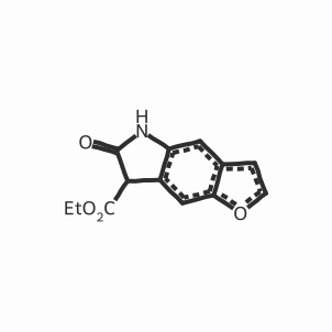 CCOC(=O)C1C(=O)Nc2cc3ccoc3cc21